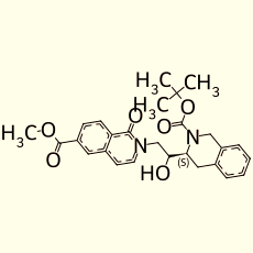 COC(=O)c1ccc2c(=O)n(CC(O)[C@@H]3Cc4ccccc4CN3C(=O)OC(C)(C)C)ccc2c1